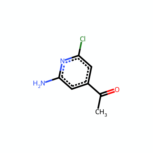 CC(=O)c1cc(N)nc(Cl)c1